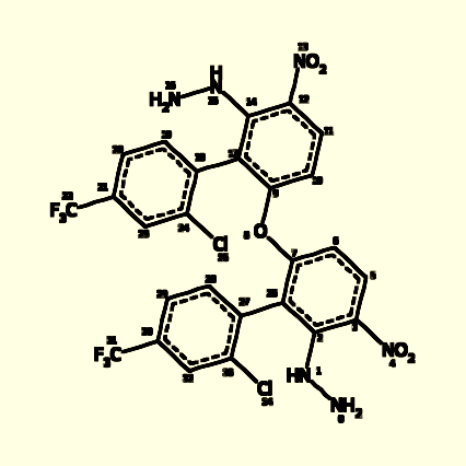 NNc1c([N+](=O)[O-])ccc(Oc2ccc([N+](=O)[O-])c(NN)c2-c2ccc(C(F)(F)F)cc2Cl)c1-c1ccc(C(F)(F)F)cc1Cl